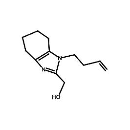 C=CCCn1c(CO)nc2c1CCCC2